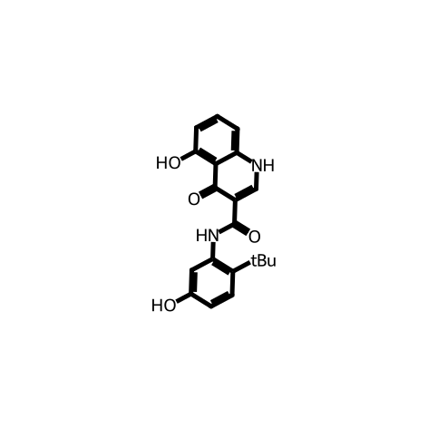 CC(C)(C)c1ccc(O)cc1NC(=O)c1c[nH]c2cccc(O)c2c1=O